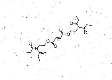 CCC(=O)N(CCOC(=O)/C=C/C(=O)OCCN(C(=O)CC)C(=O)CC)C(=O)CC